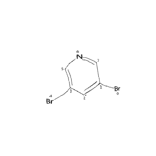 Brc1[c]c(Br)cnc1